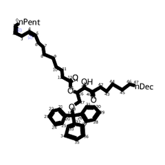 CCCCC/C=C\C/C=C\CCCCCCCC(=O)OC(COC(c1ccccc1)(c1ccccc1)c1ccccc1)C(O)C(=O)CCCCCCCCCCCCCCC